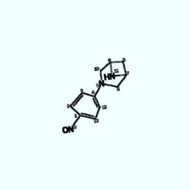 O=Nc1ccc(N2CC3CC(C2)N3)cc1